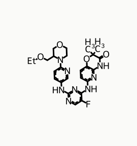 CCOCC1COCCN1c1ccc(Nc2ncc(F)c(Nc3ccc4c(n3)NC(=O)C(C)(C)O4)n2)cn1